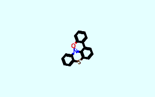 c1ccc2c(c1)ON1c3ccccc3Sc3cccc-2c31